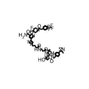 Cc1ncsc1-c1ccc(CNC(=O)[C@@H]2C[C@@H](O)CN2C(=O)[C@@H](NC(=O)CCNC(=O)CCCn2cnc(-c3cnc(O[C@@H]4CCN(C(=O)Cc5ccc(OC(F)(F)F)cc5)C[C@H]4F)c(C(N)O)c3)c2)C(C)(C)C)cc1